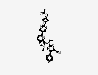 CCN(c1nc(-c2ccc(F)cc2)c(C#N)s1)c1c2nc(-c3cnc(N4CC(OC(C)=O)C4)nc3)ccc2nn1CC